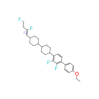 CCOc1ccc(-c2ccc(C3CCC(C4CCC(/C=C(\F)CCF)CC4)CC3)c(F)c2F)cc1